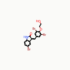 O=C1Nc2ccc(Br)cc2C1=Cc1cc(Br)c(OCCO)c(Br)c1